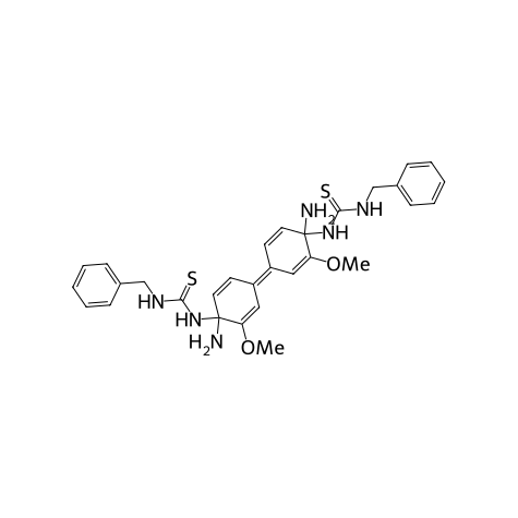 COC1=C/C(=C2/C=CC(N)(NC(=S)NCc3ccccc3)C(OC)=C2)C=CC1(N)NC(=S)NCc1ccccc1